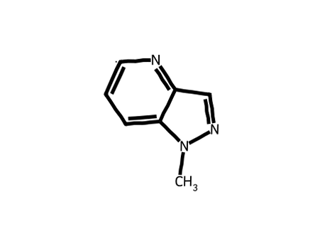 Cn1ncc2n[c]ccc21